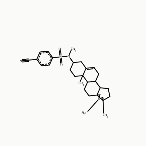 CC1C2CCC3C4CC=C5CC(N(C)S(=O)(=O)c6ccc(C#N)cc6)CCC5(C)C4CCC32CN1C